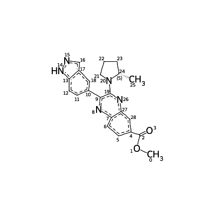 COC(=O)c1ccc2nc(-c3ccc4[nH]ncc4c3)c(N3CCC[C@@H]3C)nc2c1